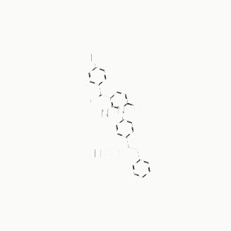 Nc1c(C(=O)c2ccc(F)cc2F)ccc(=O)n1-c1ccc(C(Cc2ccccc2)C(=O)O)cc1